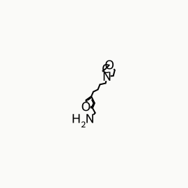 NCc1cc(CCCCN2CCOCC2)co1